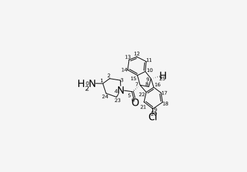 NC1CCN(C(=O)[C@@]23C[C@@H](c4ccccc42)c2ccc(Cl)cc23)CC1